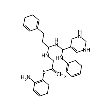 C=C(CNC(CCC1=CCCC=C1)NC(NC1=CC=CCC1)C1=CNCNC1)SC1=C(N)C=CCC1